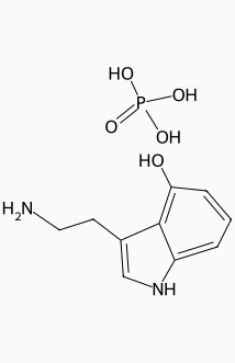 NCCc1c[nH]c2cccc(O)c12.O=P(O)(O)O